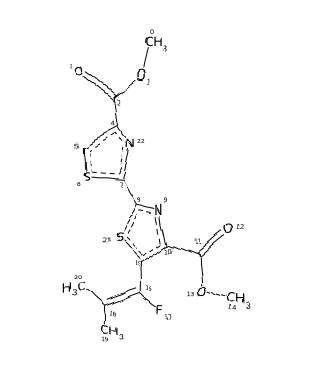 COC(=O)c1csc(-c2nc(C(=O)OC)c(C(F)=C(C)C)s2)n1